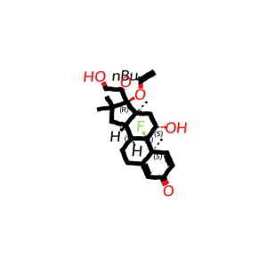 C=C(CCCC)O[C@]1(C(=O)CO)C(C)(C)C[C@H]2[C@@H]3CCC4=CC(=O)C=C[C@]4(C)[C@@]3(F)[C@@H](O)C[C@@]21C